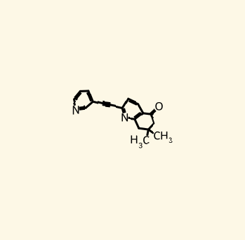 CC1(C)CC(=O)c2ccc(C#Cc3cccnc3)nc2C1